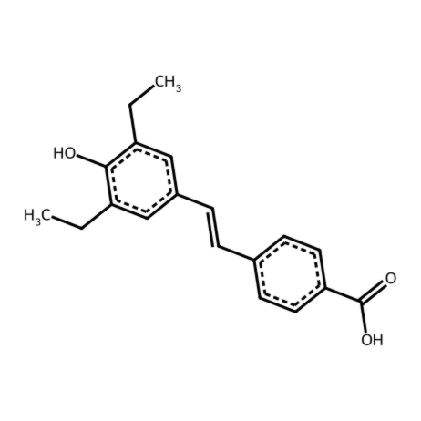 CCc1cc(C=Cc2ccc(C(=O)O)cc2)cc(CC)c1O